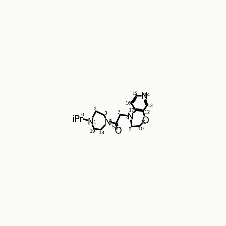 CC(C)N1CCN(C(=O)CN2CCOc3cnccc32)CC1